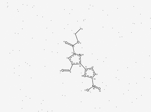 CCOC(=O)n1cc(C=O)c(-c2ccc([N+](=O)[O-])o2)n1